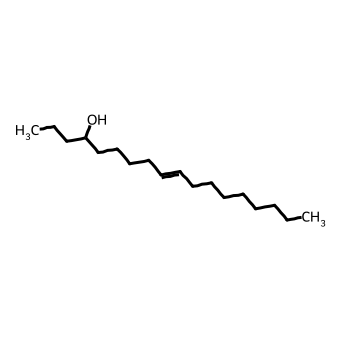 CCCCCCCCC=CCCCCC(O)CCC